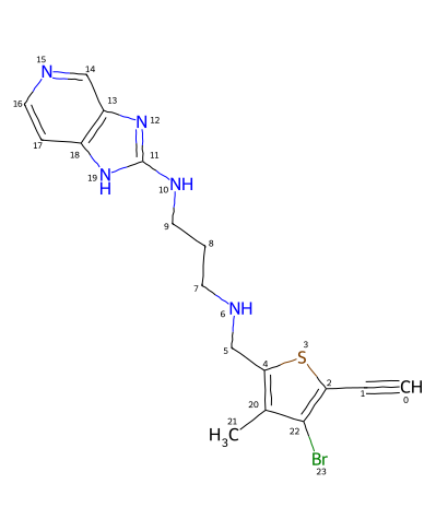 C#Cc1sc(CNCCCNc2nc3cnccc3[nH]2)c(C)c1Br